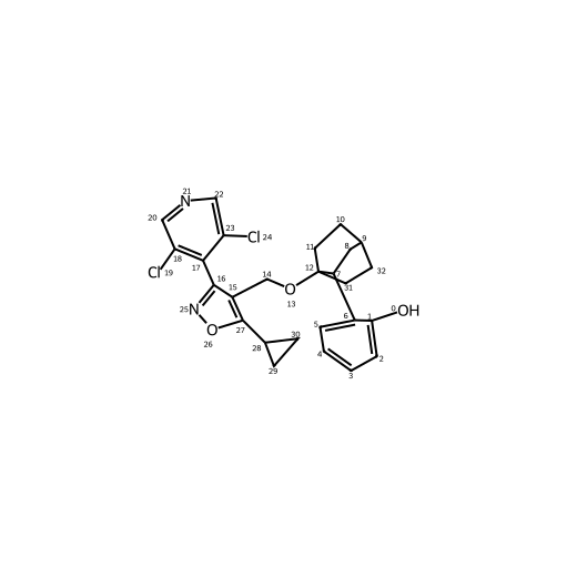 Oc1ccccc1C1CC2CCC1(OCc1c(-c3c(Cl)cncc3Cl)noc1C1CC1)CC2